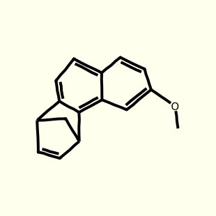 COc1ccc2ccc3c(c2c1)C1C=CC3C1